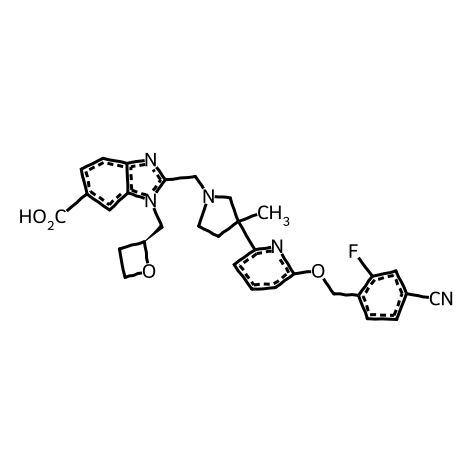 CC1(c2cccc(OCc3ccc(C#N)cc3F)n2)CCN(Cc2nc3ccc(C(=O)O)cc3n2C[C@@H]2CCO2)C1